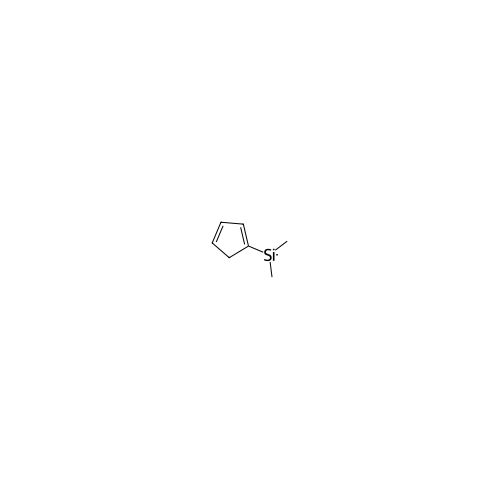 C[Si](C)C1=CC=CC1